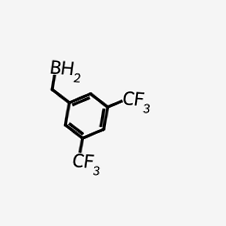 BCc1cc(C(F)(F)F)cc(C(F)(F)F)c1